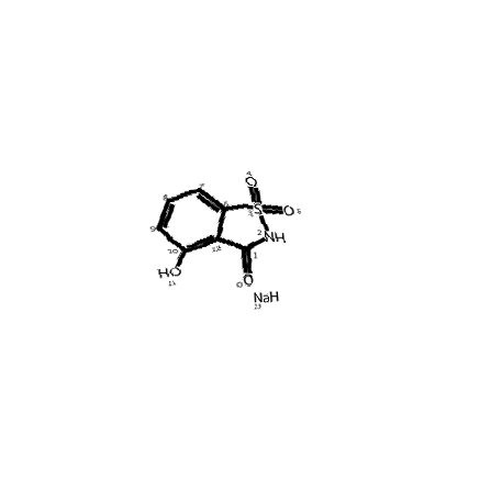 O=C1NS(=O)(=O)c2cccc(O)c21.[NaH]